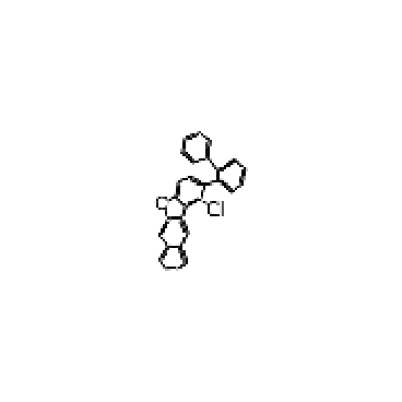 Clc1c(-c2ccccc2-c2ccccc2)ccc2oc3cc4ccccc4cc3c12